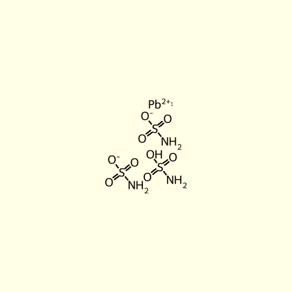 NS(=O)(=O)O.NS(=O)(=O)[O-].NS(=O)(=O)[O-].[Pb+2]